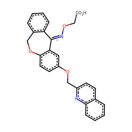 O=C(O)CO/N=C1\c2ccccc2COc2ccc(OCc3ccc4ccccc4n3)cc21